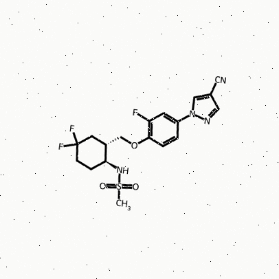 CS(=O)(=O)N[C@H]1CCC(F)(F)C[C@@H]1COc1ccc(-n2cc(C#N)cn2)cc1F